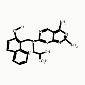 CCOc1ccc2ccccc2c1CN(c1ncc2c(N)nc(N)nc2n1)C(C)C(O)C(=O)O